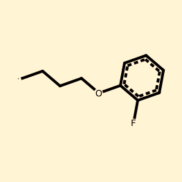 [CH2]CCCOc1ccccc1F